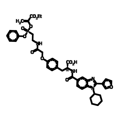 C=C(OP(=O)(CCNC(=O)COc1ccc(C[C@H](NC(=O)c2ccc3c(c2)nc(-c2ccoc2)n3C2CCCCC2)C(=O)O)cc1)Oc1ccccc1)C(=O)OCC